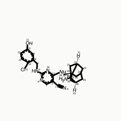 N#Cc1cnc(NCc2cc(O)ccc2Cl)nc1NC[C@]12CC3C[C@H](C1)[C@@H](N)[C@@H](C3)C2